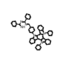 N=C(/N=C(\N=C\c1ccc(-n2c3ccccc3c3c4c(c5ccccc5n4-c4ccccc4)c4c(c5ccccc5n4-c4ccccc4)c32)cc1)c1ccccc1)c1ccccc1